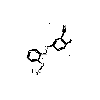 COc1ccccc1COc1ccc(F)c(C#N)c1